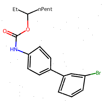 CCCCCC(CC)OC(=O)Nc1ccc(-c2cccc(Br)c2)cc1